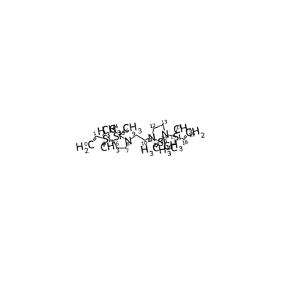 C=C[Si](C)(C)C1CCN(CCN2CCN([Si](C)(C)C=C)[Si]2(C)C)[Si]1(C)C